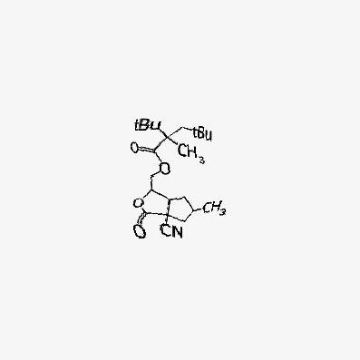 CC1CC2C(COC(=O)C(C)(CC(C)(C)C)C(C)(C)C)OC(=O)C2(C#N)C1